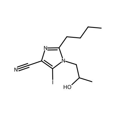 CCCCc1nc(C#N)c(I)n1CC(C)O